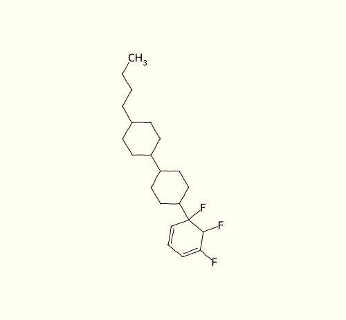 CCCCC1CCC(C2CCC(C3(F)C=CC=C(F)C3F)CC2)CC1